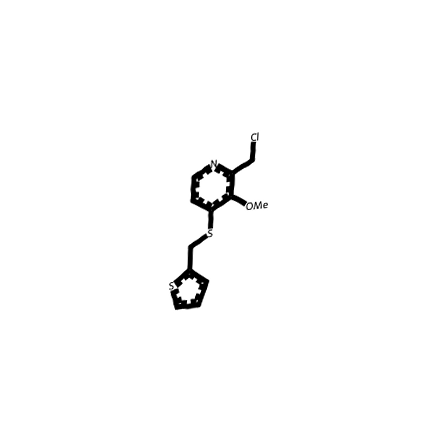 COc1c(SCc2cccs2)ccnc1CCl